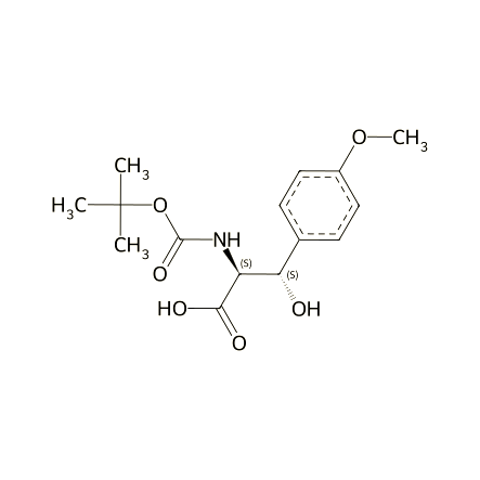 COc1ccc([C@H](O)[C@H](NC(=O)OC(C)(C)C)C(=O)O)cc1